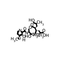 COc1ccnc(C(=O)N[C@H]2COC[C@@H](CC(C)C(=O)O)[C@H](CC(C)C(=O)O)[C@H](C)OC2=O)c1O